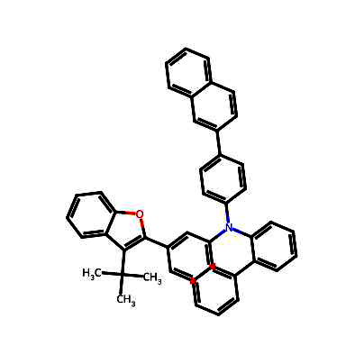 CC(C)(C)c1c(-c2cccc(N(c3ccc(-c4ccc5ccccc5c4)cc3)c3ccccc3-c3ccccc3)c2)oc2ccccc12